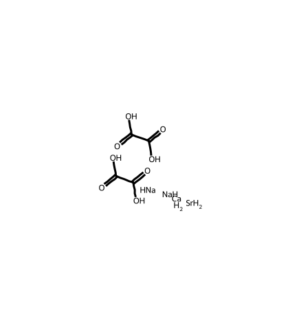 O=C(O)C(=O)O.O=C(O)C(=O)O.[CaH2].[NaH].[NaH].[SrH2]